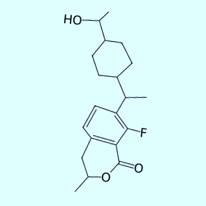 CC1Cc2ccc(C(C)C3CCC(C(C)O)CC3)c(F)c2C(=O)O1